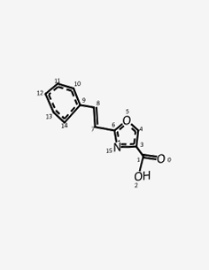 O=C(O)c1coc(C=Cc2ccccc2)n1